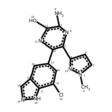 Cn1ccc(-c2nc(N)c(O)nc2-c2cc(Cl)c3[nH]ncc3c2)n1